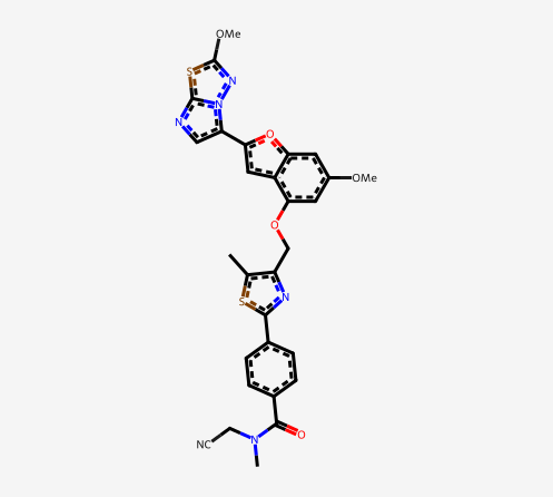 COc1cc(OCc2nc(-c3ccc(C(=O)N(C)CC#N)cc3)sc2C)c2cc(-c3cnc4sc(OC)nn34)oc2c1